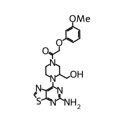 COc1cccc(OCC(=O)N2CCN(c3nc(N)nc4scnc34)C(CO)C2)c1